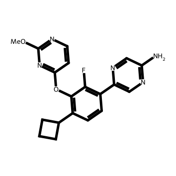 COc1nccc(Oc2c(C3CCC3)ccc(-c3cnc(N)cn3)c2F)n1